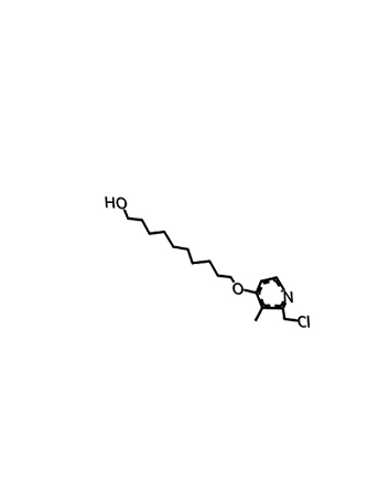 Cc1c(OCCCCCCCCCCO)ccnc1CCl